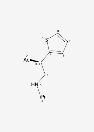 CC(=O)[C@H](CNC(C)C)c1cccs1